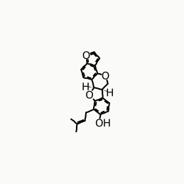 CC(C)=CCc1c(O)ccc2c1O[C@H]1c3ccc4occc4c3OC[C@@H]21